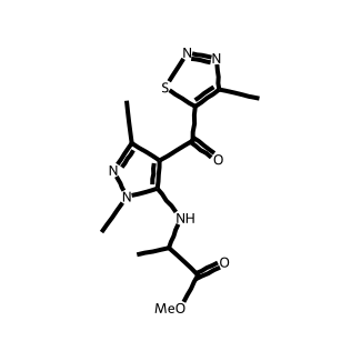 COC(=O)C(C)Nc1c(C(=O)c2snnc2C)c(C)nn1C